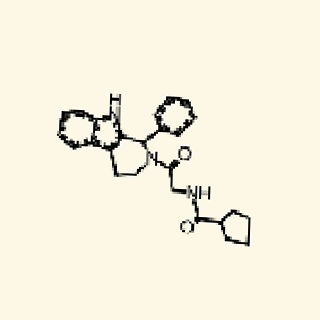 O=C(NCC(=O)N1CCc2c([nH]c3ccccc23)C1c1ccccc1)C1CCCC1